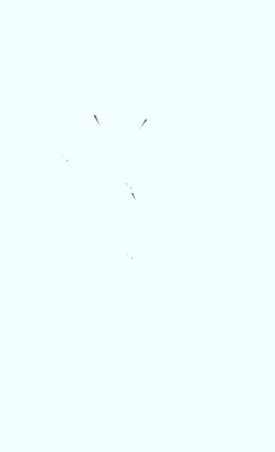 CCCC[C@H](C(N)=O)[C@@H](CC1CCCC1)C(=O)N[C@H]1CCCCN(Cc2cccc(-c3ccc(OC)cc3)c2)C1=O